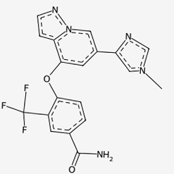 Cn1cnc(-c2cc(Oc3ccc(C(N)=O)cc3C(F)(F)F)c3ccnn3c2)c1